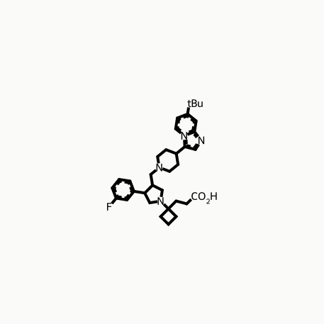 CC(C)(C)c1ccn2c(C3CCN(CC4CN(C5(CCC(=O)O)CCC5)CC4c4cccc(F)c4)CC3)cnc2c1